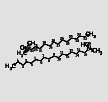 CCCCCCCCCCCCCCCCCN(C)O.CCCCCCCCCCCCCC[N+](C)(C)[O-]